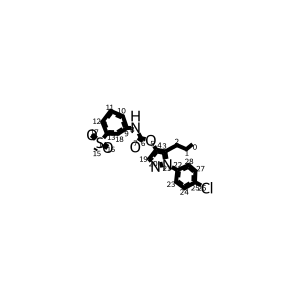 CCCc1c(OC(=O)Nc2cccc(S(C)(=O)=O)c2)cnn1-c1ccc(Cl)cc1